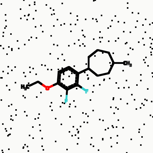 CCOc1ccc(C2CCCC(C)CC2)c(F)c1F